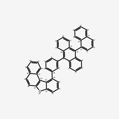 c1cc(-c2c3ccccc3c(-c3cccc4ccccc34)c3ccccc23)cc(-c2cccc3oc4ccc5ccccc5c4c23)c1